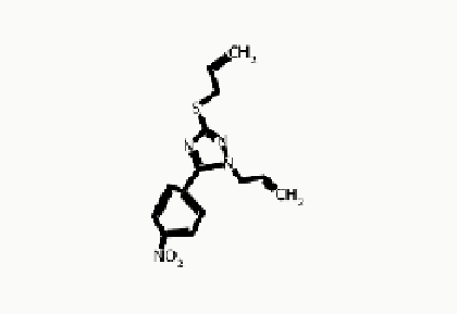 C=CCSc1nc(-c2ccc([N+](=O)[O-])cc2)n(CC=C)n1